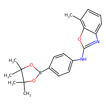 Cc1cccc2nc(Nc3ccc(B4OC(C)(C)C(C)(C)O4)cc3)oc12